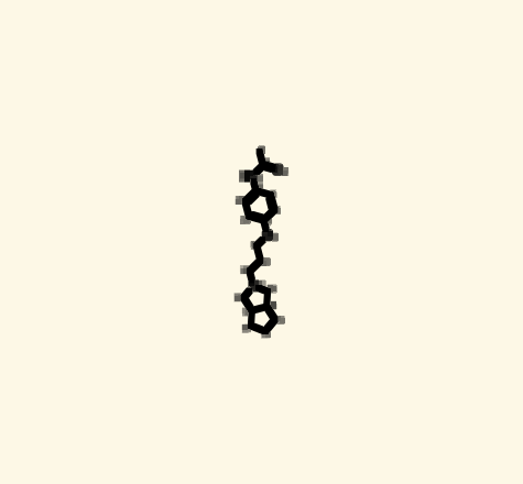 CC(=O)Nc1ccc(OCCCN2CC3CCCC3C2)cc1